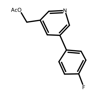 CC(=O)OCc1cncc(-c2ccc(F)cc2)c1